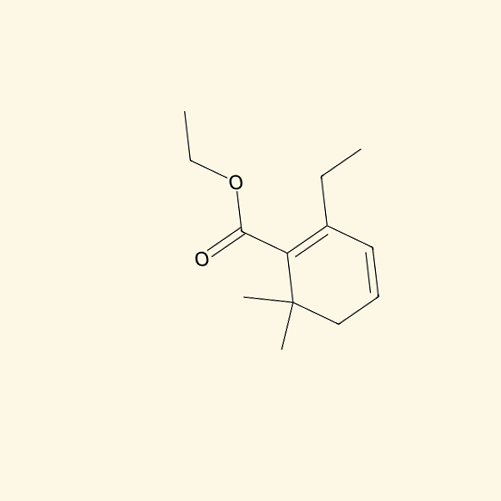 CCOC(=O)C1=C(CC)C=CCC1(C)C